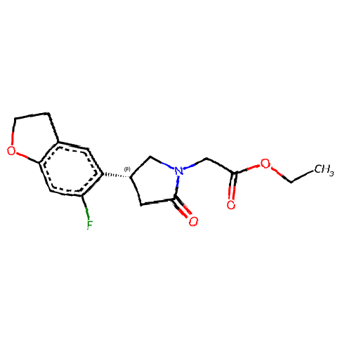 CCOC(=O)CN1C[C@@H](c2cc3c(cc2F)OCC3)CC1=O